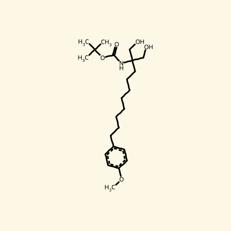 COc1ccc(CCCCCCCCC(CO)(CO)NC(=O)OC(C)(C)C)cc1